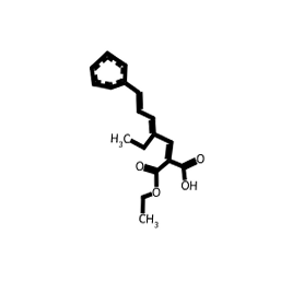 CCOC(=O)\C(=C/C(=C/C=C/c1ccccc1)CC)C(=O)O